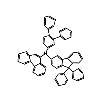 c1ccc(-c2ccc(N(c3ccc4c(c3)-c3ccccc3C4(c3ccccc3)c3ccccc3)c3cc4ccccc4c4ccccc34)cc2-c2ccccc2)cc1